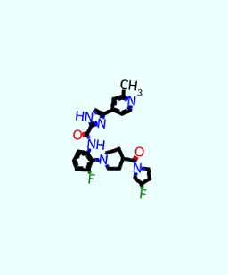 Cc1cc(-c2c[nH]c(C(=O)Nc3cccc(F)c3N3CCC(C(=O)N4CCC(F)C4)CC3)n2)ccn1